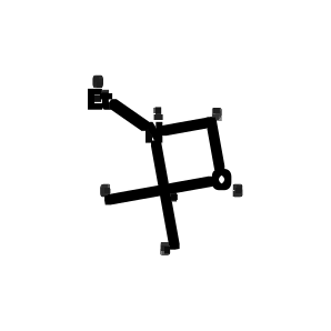 CCN1COC1(C)C